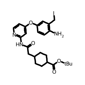 CC(C)(C)OC(=O)C1CCC(CC(=O)Nc2cc(Oc3ccc(N)c(CI)c3)ccn2)CC1